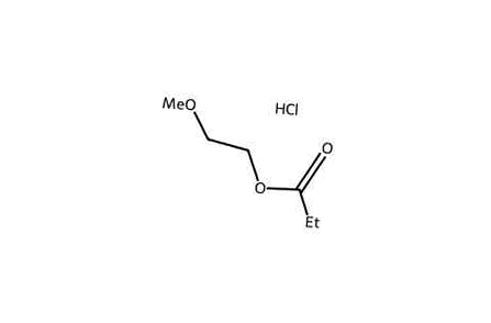 CCC(=O)OCCOC.Cl